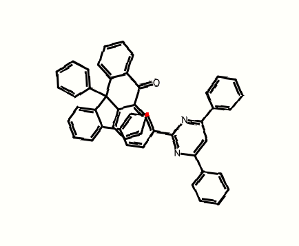 O=C1c2ccccc2C(c2ccccc2)(c2ccccc2-c2ccc(-c3nc(-c4ccccc4)cc(-c4ccccc4)n3)cc2)c2ccccc21